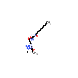 CCCCCCCCCCCCCCCC(=O)NCCCC(=O)NC(CCCCN(N)/C=C(\N)CCC(=O)C(C)C)C(=O)O